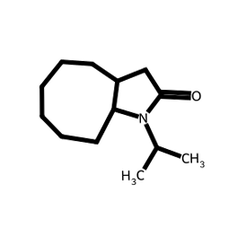 CC(C)N1C(=O)CC2CCCCCCC21